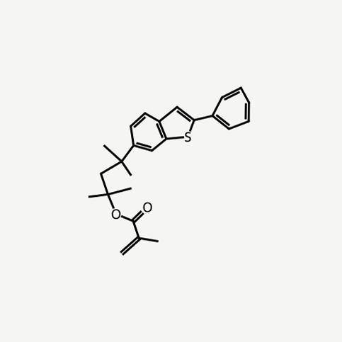 C=C(C)C(=O)OC(C)(C)CC(C)(C)c1ccc2cc(-c3ccccc3)sc2c1